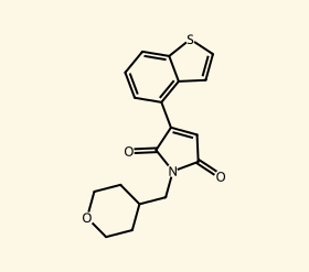 O=C1C=C(c2cccc3sccc23)C(=O)N1CC1CCOCC1